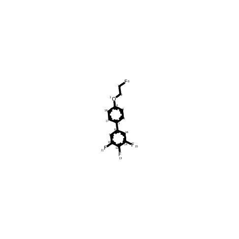 FCCOc1ccc(-c2cc(F)c(F)c(F)c2)cc1